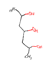 CCCC(O)CC(O)CC(C)O